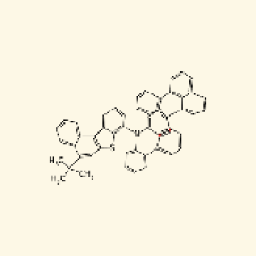 CC(C)(C)c1cc2sc3c(N(c4ccc(-c5cccc6cccc(-c7ccccc7)c56)cc4)c4ccccc4-c4ccccc4)cccc3c2c2ccccc12